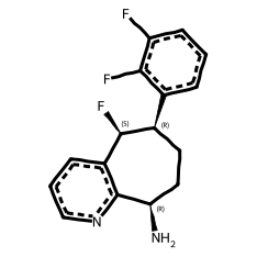 N[C@@H]1CC[C@H](c2cccc(F)c2F)[C@H](F)c2cccnc21